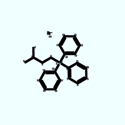 CC(C)CC[P+](c1ccccc1)(c1ccccc1)c1ccccc1.[Br-]